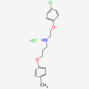 Cc1ccc(OCCCNCCOc2ccc(Cl)cc2)cc1.Cl